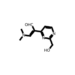 CN(C)C=C(C=O)c1ccnc(CO)n1